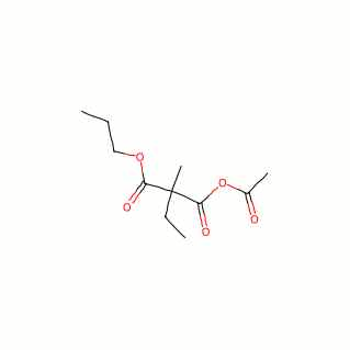 CCCOC(=O)C(C)(CC)C(=O)OC(C)=O